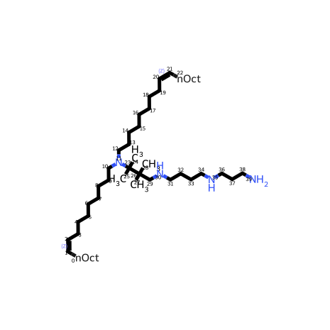 CCCCCCCC/C=C\CCCCCCCCN(CCCCCCCC/C=C\CCCCCCCC)C(C)(C)C(C)(C)CNCCCCNCCCN